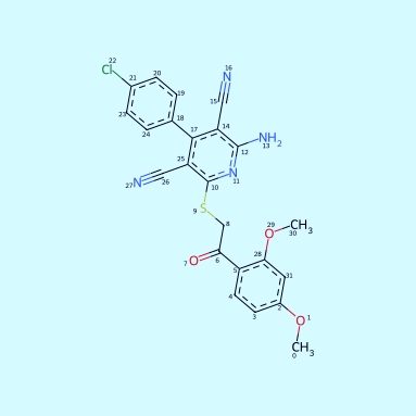 COc1ccc(C(=O)CSc2nc(N)c(C#N)c(-c3ccc(Cl)cc3)c2C#N)c(OC)c1